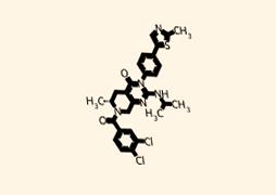 Cc1ncc(-c2ccc(-n3c(NC(C)C)nc4c(c3=O)C[C@@H](C)N(C(=O)c3ccc(Cl)c(Cl)c3)C4)cc2)s1